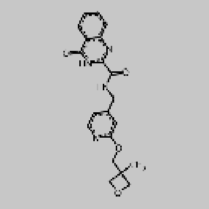 CC1(COc2cc(CNC(=O)c3nc4ccccc4c(=O)[nH]3)ccn2)COC1